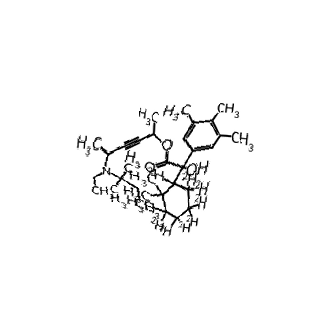 [2H]C1([2H])C([2H])([2H])C([2H])(C)C(C)(C)C([2H])(C(O)(C(=O)OC(C)C#CC(C)N(CC)C(C)(C)CC)c2cc(C)c(C)c(C)c2)C1([2H])[2H]